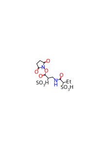 CCC(C(=O)NCC(C(=O)ON1C(=O)CCC1=O)S(=O)(=O)O)S(=O)(=O)O